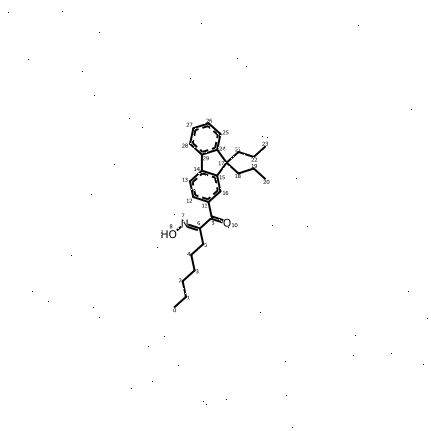 CCCCCCC(=NO)C(=O)c1ccc2c(c1)C(CCC)(CCC)c1ccccc1-2